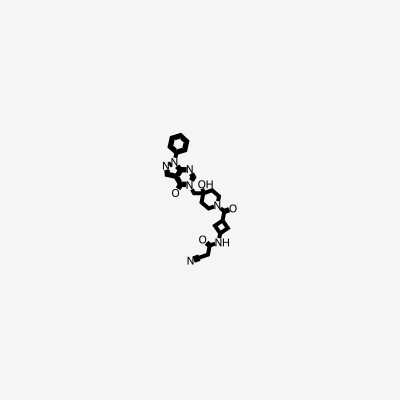 N#CCC(=O)NC1CC(C(=O)N2CCC(O)(Cn3cnc4c(cnn4-c4ccccc4)c3=O)CC2)C1